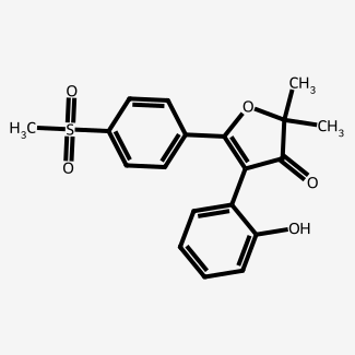 CC1(C)OC(c2ccc(S(C)(=O)=O)cc2)=C(c2ccccc2O)C1=O